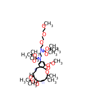 COCCOCCOCCN(CCN(C(=O)OC(C)(C)C)c1cc2c(c(OCOC)c1)C(=O)O[C@@H](C)[C@H](C)/C=C\C(=O)[C@H]1OC(C)(C)O[C@H]1C/C=C/2)C(=O)OC(C)(C)C